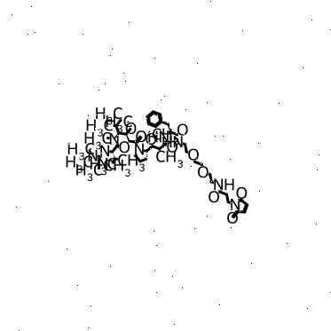 CC[C@H](C)[C@@H]([C@H](CC(=O)N1CCC[C@H]1[C@H](OC)[C@@H](C)C(=O)N[C@@H](Cc1ccccc1)C(=O)NCCOCCOCCNC(=O)CCN1C(=O)C=CC1=O)OC)N(C)C(=O)[C@@H](N=C(N(C)C)N(C)C)C(C)C